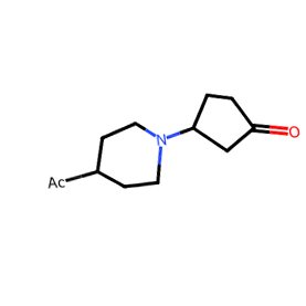 CC(=O)C1CCN(C2CCC(=O)C2)CC1